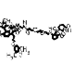 Cc1cc(OCCCc2c(C(=O)NS(=O)(=O)CCNC(=O)CCOCCOCCNc3cccc4c3C(=O)N(C3CCCC(=O)NC3=O)C4=O)n(C)c3c(-c4c(C)nn(C)c4C)c(Cl)ccc23)cc(C)c1Cl